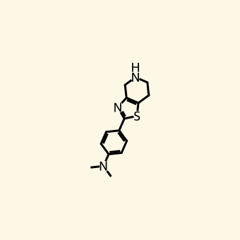 CN(C)c1ccc(-c2nc3c(s2)CCNC3)cc1